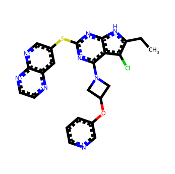 CCc1[nH]c2nc(Sc3cnc4nccnc4c3)nc(N3CC(Oc4cccnc4)C3)c2c1Cl